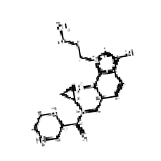 COCCn1cc(Cl)c2c1[C@H](C)C(CN(C(=O)C1CNCCO1)C1CC1)C=C2